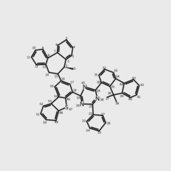 C[C@@H]1c2ccccc2-c2ccccc2CC1c1cc(-c2nc(-c3ccccc3)nc(-c3cccc4c3C(C)(C)c3ccccc3-4)n2)c2sc3ccccc3c2c1